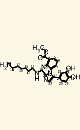 COC(=O)c1cccc2c1nc(NCCCCCCN)c1ncc(-c3ccc(O)c(O)c3)n12